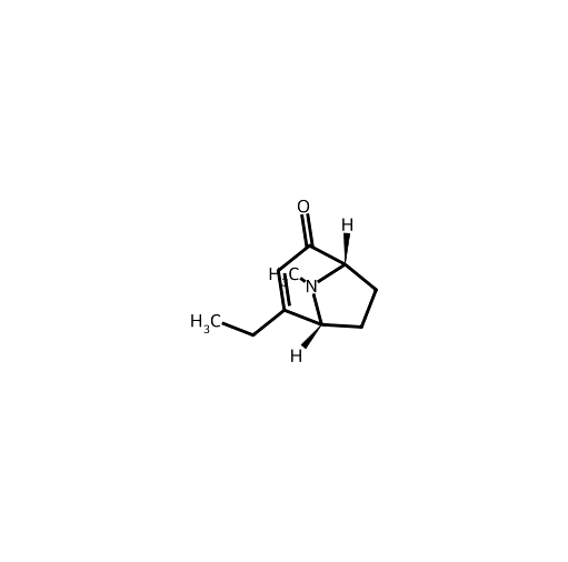 CCC1=CC(=O)[C@@H]2CC[C@H]1N2C